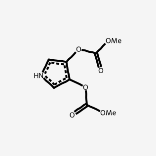 COC(=O)Oc1c[nH]cc1OC(=O)OC